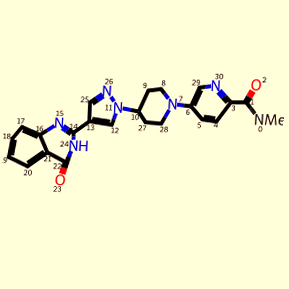 CNC(=O)c1ccc(N2CCC(n3cc(-c4nc5ccccc5c(=O)[nH]4)cn3)CC2)cn1